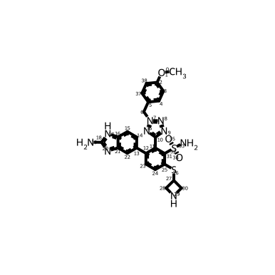 COc1ccc(Cn2nnc(-c3c(-c4ccc5[nH]c(N)nc5c4)ccc(SC4CNC4)c3S(N)(=O)=O)n2)cc1